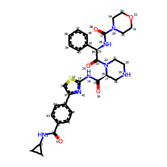 O=C(NC1CC1)c1ccc(-c2csc(NC(=O)[C@@H]3CNCCN3C(=O)[C@H](NC(=O)N3CCOCC3)c3ccccc3)n2)cc1